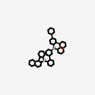 c1ccc(-c2ccc(N(c3ccccc3)c3cccc(-c4ccccc4-n4c5ccccc5c5c6ccccc6ccc54)c3)c(-c3ccccc3)c2)cc1